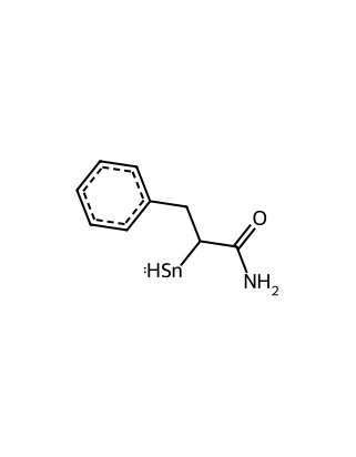 NC(=O)[CH]([SnH])Cc1ccccc1